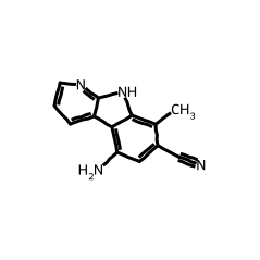 Cc1c(C#N)cc(N)c2c1[nH]c1ncccc12